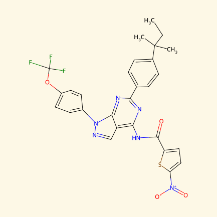 CCC(C)(C)c1ccc(-c2nc(NC(=O)c3ccc([N+](=O)[O-])s3)c3cnn(-c4ccc(OC(F)(F)F)cc4)c3n2)cc1